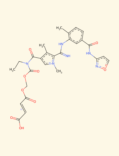 CCN(C(=O)OCOC(=O)/C=C/C(=O)O)C(=O)c1cn(C)c(C(=N)Nc2cc(C(=O)Nc3ccon3)ccc2C)c1C